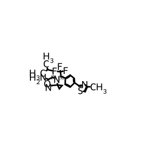 Cc1csc(-c2ccc([C@H](N([C@@H](CC(C)C)C(N)=O)C3(C#N)CC3)C(F)(F)F)cc2)n1